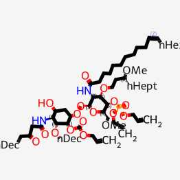 C=CCOC(=O)O[C@@H]1C(OO[C@@H]2O[C@H](COC)[C@@H](OP(=O)(OCC=C)OCC=C)[C@H](OCC[C@@H](CCCCCCC)OC)[C@H]2NC(=O)CCCCCCCCC/C=C\CCCCCC)CC(O)[C@H](NC(=O)CC(=O)CCCCCCCCCCC)[C@H]1OCCCCCCCCCC